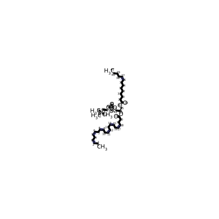 CC/C=C\C/C=C\C/C=C\C/C=C\C/C=C\C/C=C\CCC(=O)O[C@H](COC(=O)CCCCCCC/C=C\CCCC)COP(=O)([O-])OCC[N+](C)(C)C